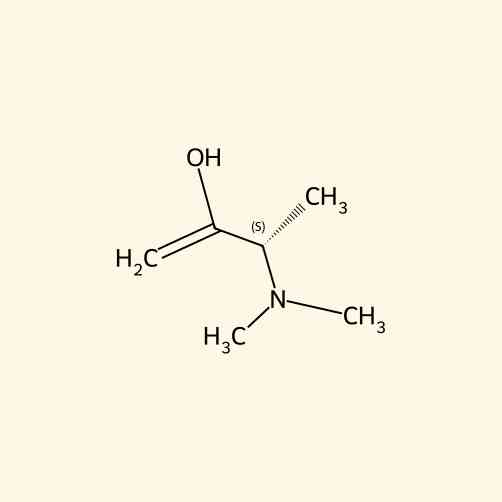 C=C(O)[C@H](C)N(C)C